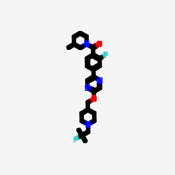 CC1CCCN(C(=O)c2ccc(-c3cnc(OCC4CCN(CC(C)(C)F)CC4)cn3)cc2F)C1